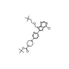 CC(C)(C)OC(=O)N1CCN(c2ccc(-c3cc4c(Cl)ncnc4n3COCC[Si](C)(C)C)nc2)CC1